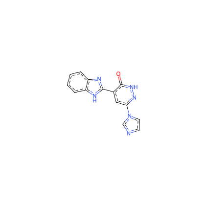 O=c1[nH]nc(-n2ccnc2)cc1-c1nc2ccccc2[nH]1